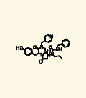 CCCN(C(=O)NCc1ccccc1)N1CC(=O)N2[C@@H](Cc3ccc(O)cc3)C(=O)N(Cc3ccncc3)C[C@@H]21